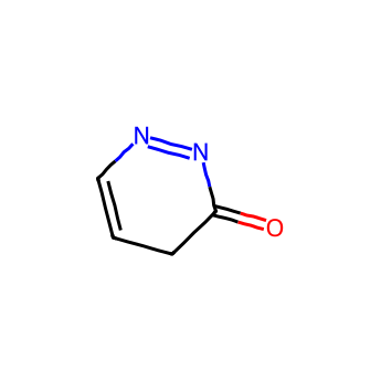 O=C1CC=CN=N1